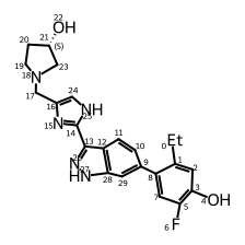 CCc1cc(O)c(F)cc1-c1ccc2c(-c3nc(CN4CC[C@H](O)C4)c[nH]3)n[nH]c2c1